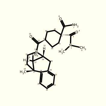 CN(C)C(=O)[C@]1(C(N)=O)CC[C@@H](C(=O)N2CC[C@@]3(C)c4ccccc4C[C@@H]2C3(C)C)CC1